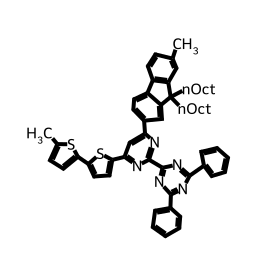 CCCCCCCCC1(CCCCCCCC)c2cc(C)ccc2-c2ccc(-c3cc(-c4ccc(-c5ccc(C)s5)s4)nc(-c4nc(-c5ccccc5)nc(-c5ccccc5)n4)n3)cc21